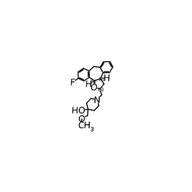 COCC1(O)CCN(C[C@@H]2C[C@@H]3c4ccccc4Cc4ccc(F)cc4[C@@H]3O2)CC1